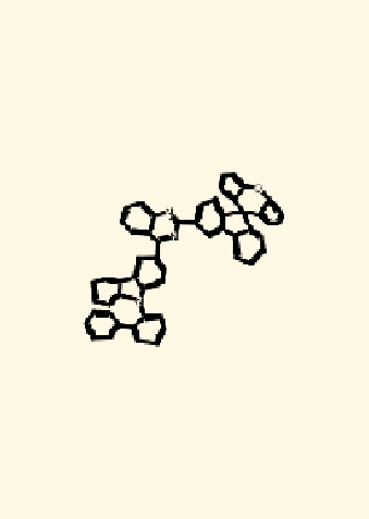 c1ccc(-c2ccccc2-n2c3ccccc3c3cc(-c4nc(-c5ccc6c(c5)-c5ccccc5C65c6ccccc6Oc6ccccc65)nc5ccccc45)ccc32)cc1